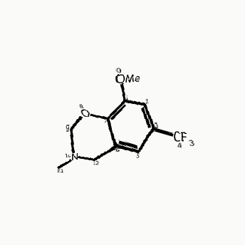 COc1cc(C(F)(F)F)cc2c1OCN(C)C2